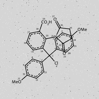 COc1ccc(C(Cl)(c2ccc(OC)cc2)c2cccc(C(=O)O)c2N2C(=O)CCC2=O)cc1